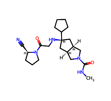 CNC(=O)N1C[C@@H]2C[C@@](NCC(=O)N3CCC[C@H]3C#N)(C3CCCC3)C[C@@H]2C1